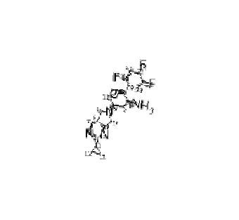 N[C@H]1C[C@@H](N2Cc3cnc(C4CC4)nc3C2)CO[C@@H]1c1cc(F)c(F)cc1F